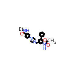 CCNC(=O)c1ccc(N2CCN(Cc3cc4c(c(-c5ccccc5)c3)OC(C)C(=O)N4)CC2)cc1